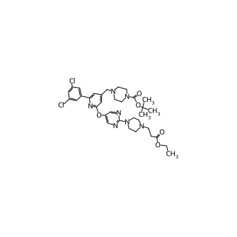 CCOC(=O)CCN1CCN(c2ncc(Oc3cc(CN4CCN(C(=O)OC(C)(C)C)CC4)cc(-c4cc(Cl)cc(Cl)c4)n3)cn2)CC1